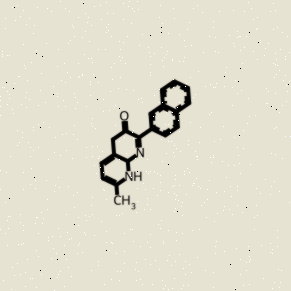 CC1=CC=C2CC(=O)C(c3ccc4ccccc4c3)=NC2N1